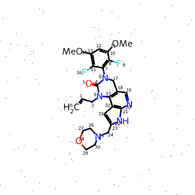 C=CCN1C(=O)N(c2c(F)c(OC)cc(OC)c2F)Cc2cnc3[nH]c(CN4CCOCC4)cc3c21